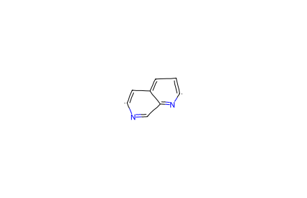 [c]1cc2cc[c]nc2cn1